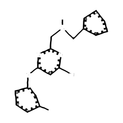 Cc1cccc(Nc2cc(N)nc(CN(C)Cc3ccccc3)n2)c1